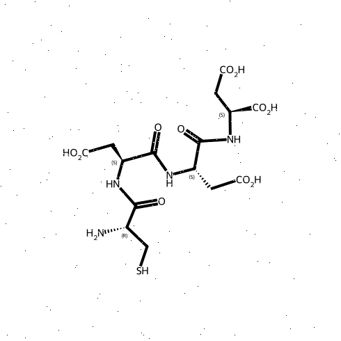 N[C@@H](CS)C(=O)N[C@@H](CC(=O)O)C(=O)N[C@@H](CC(=O)O)C(=O)N[C@@H](CC(=O)O)C(=O)O